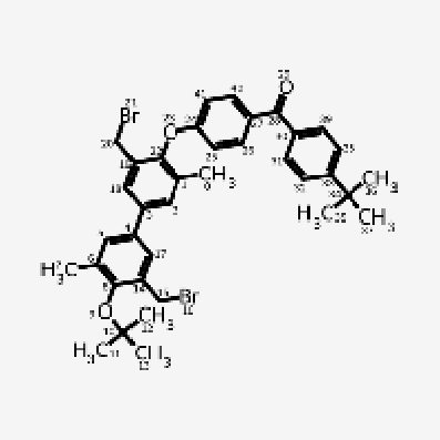 Cc1cc(-c2cc(C)c(OC(C)(C)C)c(CBr)c2)cc(CBr)c1Oc1ccc(C(=O)c2ccc(C(C)(C)C)cc2)cc1